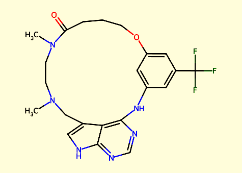 CN1CCN(C)C(=O)CCCOc2cc(cc(C(F)(F)F)c2)Nc2ncnc3[nH]cc(c23)C1